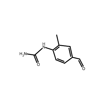 Cc1cc(C=O)ccc1NC(N)=O